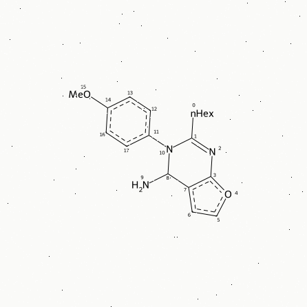 CCCCCCC1=Nc2occc2C(N)N1c1ccc(OC)cc1